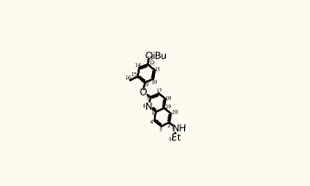 CCNc1ccc2nc(Oc3ccc(OCC(C)C)cc3C)ccc2c1